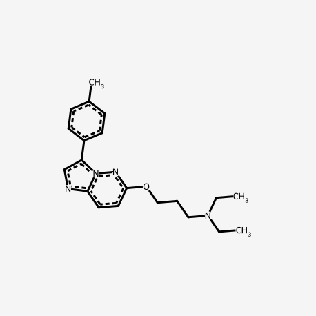 CCN(CC)CCCOc1ccc2ncc(-c3ccc(C)cc3)n2n1